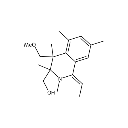 C/C=C1/c2cc(C)cc(C)c2C(C)(COC)C(C)(CO)N1C